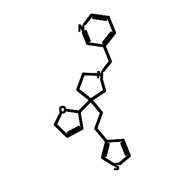 C1=CC(C2(CCc3ccsc3)CCN(Cc3cccnc3)C2)OC1